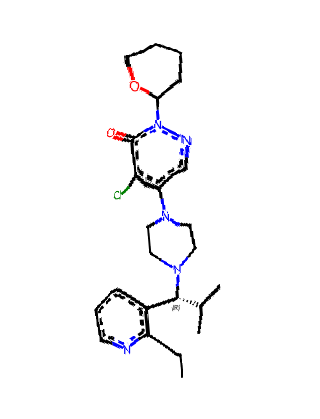 CCc1ncccc1[C@@H](C(C)C)N1CCN(c2cnn(C3CCCCO3)c(=O)c2Cl)CC1